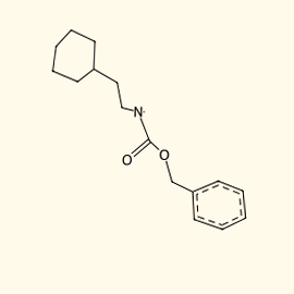 O=C([N]CCC1CCCCC1)OCc1ccccc1